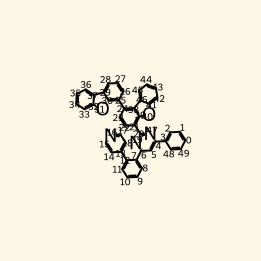 c1ccc(-c2cc(-c3ccccc3-c3ccncc3)nc(-c3ccc(-c4cccc5c4oc4ccccc45)c4c3oc3ccccc34)n2)cc1